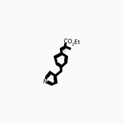 CCOC(=O)/C(C)=C/c1ccc(Cc2ccncc2)cc1